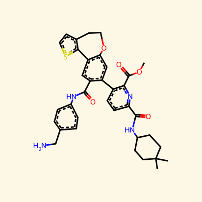 COC(=O)c1nc(C(=O)NC2CCC(C)(C)CC2)ccc1-c1cc2c(cc1C(=O)Nc1ccc(CN)cc1)-c1sccc1CCO2